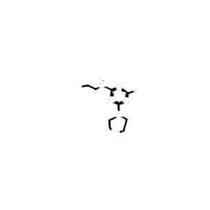 CCCN(CCO)c1nc(Cl)nc(N2CCOCC2)n1